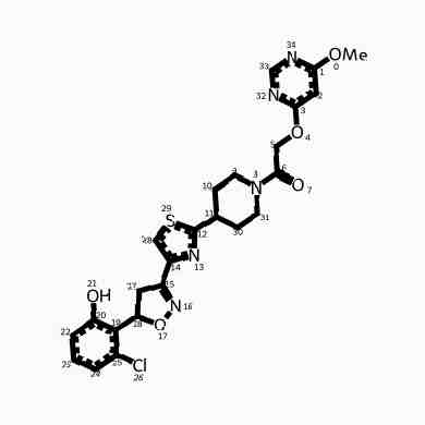 COc1cc(OCC(=O)N2CCC(c3nc(C4=NOC(c5c(O)cccc5Cl)C4)cs3)CC2)ncn1